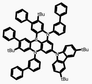 CC(C)(C)c1ccc2c(c1)c1cc(C(C)(C)C)ccc1n2-c1cc2c3c(c1)N(c1cccc(-c4ccccc4)c1)c1cc(C(C)(C)C)c(-c4ccccc4)cc1B3c1cc(-c3ccccc3)c(C(C)(C)C)cc1N2c1cccc(-c2ccccc2)c1